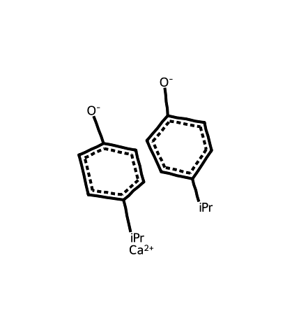 CC(C)c1ccc([O-])cc1.CC(C)c1ccc([O-])cc1.[Ca+2]